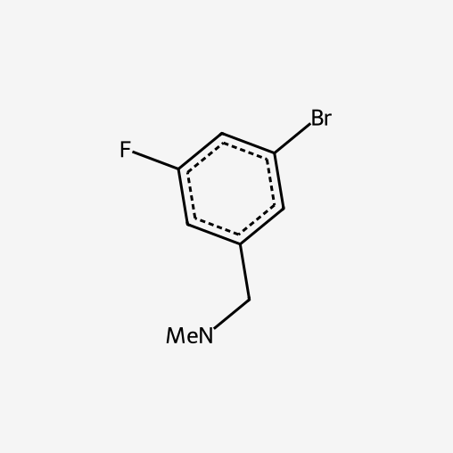 CNCc1cc(F)cc(Br)c1